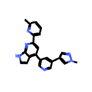 Cc1cccc(-c2cc(-c3cncc(-c4cnn(C)c4)c3)c3cc[nH]c3n2)n1